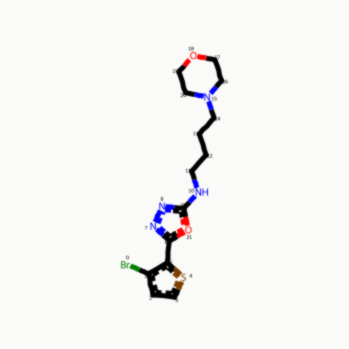 Brc1ccsc1-c1nnc(NCCCCN2CCOCC2)o1